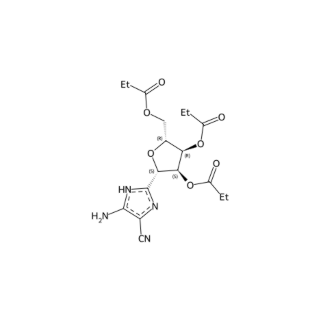 CCC(=O)OC[C@H]1O[C@@H](c2nc(C#N)c(N)[nH]2)[C@H](OC(=O)CC)[C@@H]1OC(=O)CC